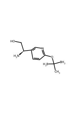 BC(B)(C)Oc1ccc([C@@H](N)CO)cn1